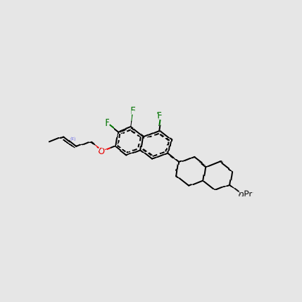 C/C=C/COc1cc2cc(C3CCC4CC(CCC)CCC4C3)cc(F)c2c(F)c1F